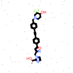 C[C@H](O)c1nccn1Cc1cc(-c2ccc(C#Cc3ccc(CN4CCC(O)C(F)(F)C4)cc3)cc2)on1